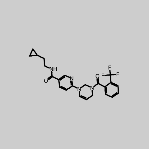 O=C(NCCC1CC1)c1ccc(N2C=CCN(C(=O)c3ccccc3C(F)(F)F)C2)nc1